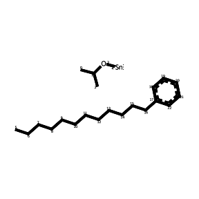 CC(C)[O][Sn].CCCCCCCCCCCCc1ccccc1